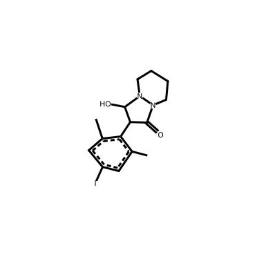 Cc1cc(I)cc(C)c1C1C(=O)N2CCCCN2C1O